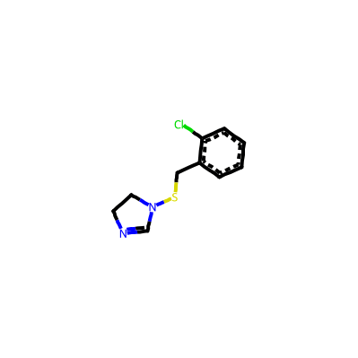 Clc1ccccc1CSN1C=NCC1